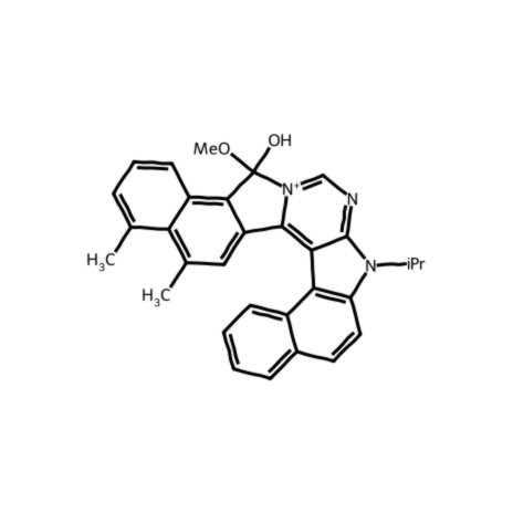 COC1(O)c2c(cc(C)c3c(C)cccc23)-c2c3c4c5ccccc5ccc4n(C(C)C)c3nc[n+]21